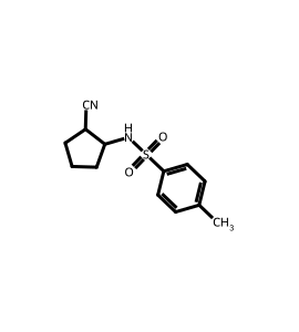 Cc1ccc(S(=O)(=O)NC2CCCC2C#N)cc1